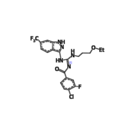 CCOCCCN/C(=N/C(=O)c1ccc(Cl)c(F)c1)Nc1n[nH]c2cc(C(F)(F)F)ccc12